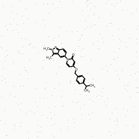 Cc1c2cc(-n3ccc(OCc4ccc(C(C)C)cc4)cc3=O)ccc2nn1C